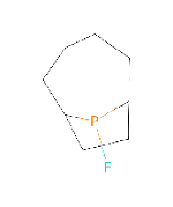 FP1C2CCCCC1CC2